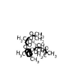 C=C(C)C(=O)OCC(C)(C)CC(=O)OC12CC3(C)CC(C)(C1)CC(OC(=O)CC(C)(C)COC(=O)C(=C)C)(C3)C2